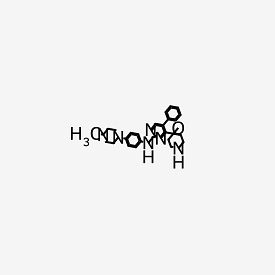 CN1CCN(c2ccc(Nc3ncc4c(n3)C3(CCNCC3)Oc3ccccc3-4)cc2)CC1